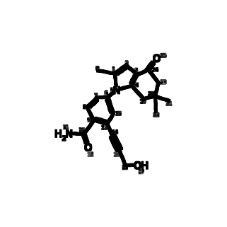 Cc1cc2c(n1-c1ccc(C(N)=O)c(C#CCO)c1)CC(C)(C)CC2=O